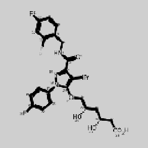 CC(C)c1c(C(=O)NCc2ccc(F)cc2F)nn(-c2ccc(F)cc2)c1OC[C@@H](O)C[C@@H](O)CC(=O)O